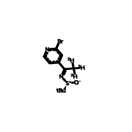 [2H]C([2H])([2H])/C(=N\[S@+]([O-])C(C)(C)C)c1ccnc(Br)c1